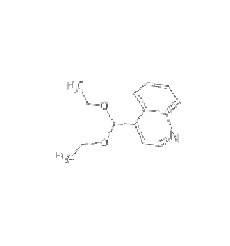 CCOC(OCC)c1ccnc2ccccc12